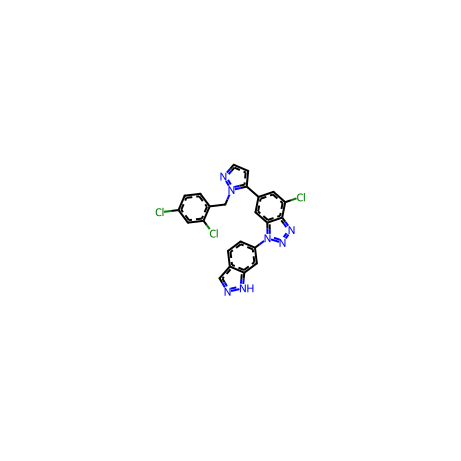 Clc1ccc(Cn2nccc2-c2cc(Cl)c3nnn(-c4ccc5cn[nH]c5c4)c3c2)c(Cl)c1